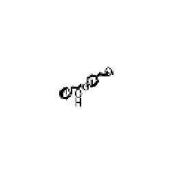 COCCC1CCN(OCC(O)CN2CCCCC2)CC1